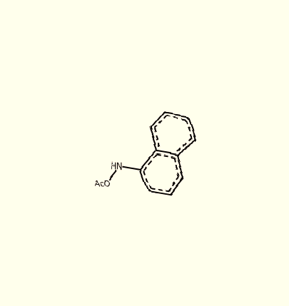 CC(=O)ONc1cccc2ccccc12